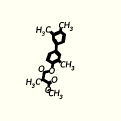 COC(=O)C(C)C(=O)Oc1ccc(-c2ccc(C)c(C)c2)cc1C